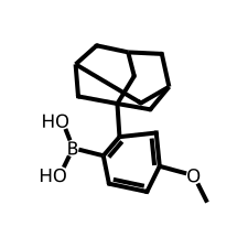 COc1ccc(B(O)O)c(C23CC4CC(CC(C4)C2)C3)c1